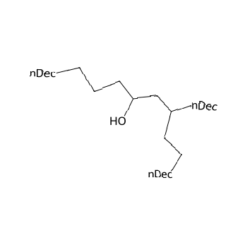 CCCCCCCCCCCCCC(O)CC(CCCCCCCCCC)CCCCCCCCCCCC